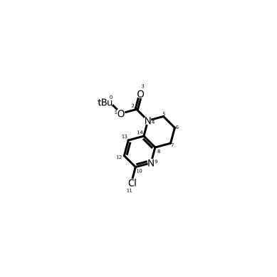 CC(C)(C)OC(=O)N1CCCc2nc(Cl)ccc21